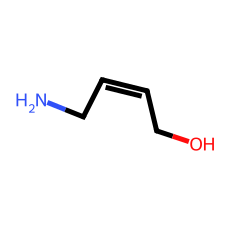 NC/C=C\CO